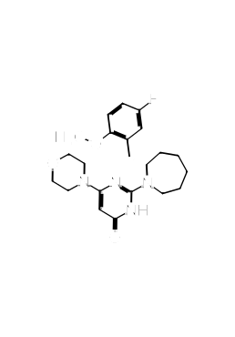 COc1ccc(F)cc1C[C@@H]1CCCCCN1c1nc(N2CCOCC2)cc(=O)[nH]1